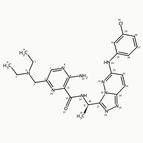 CCN(CC)Cc1cnc(N)c(C(=O)N[C@H](C)c2nnc3ccc(Nc4cccc(Cl)c4)nn23)n1